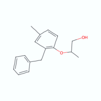 Cc1ccc(OC(C)CO)c(Cc2ccccc2)c1